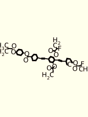 C=CC(=O)Oc1cc(C#Cc2ccc(C(=O)Oc3ccc(OC(=O)C(=C)C)cc3)cc2)cc(OC(=O)C(=C)F)c1C#Cc1ccc(OC(=O)C(=C)F)cc1